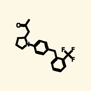 CC(=O)CC1CCCN1c1ccc(Cc2ccccc2C(F)(F)F)cc1